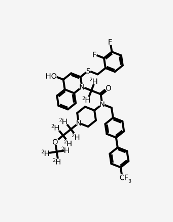 [2H]C([2H])([2H])OC([2H])([2H])C([2H])([2H])N1CCC(N(Cc2ccc(-c3ccc(C(F)(F)F)cc3)cc2)C(=O)C([2H])([2H])N2C(SCc3cccc(F)c3F)=CC(O)c3ccccc32)CC1